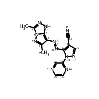 Cc1nn2c(C)n[nH]c2c1/N=N/c1c(C#N)cnn1-c1cnccn1